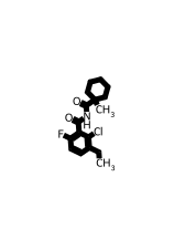 CCc1ccc(F)c(C(=O)NC(=O)C2(C)CCCCC2)c1Cl